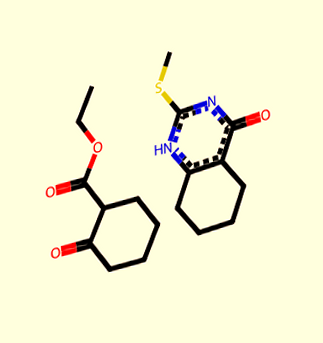 CCOC(=O)C1CCCCC1=O.CSc1nc(=O)c2c([nH]1)CCCC2